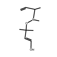 C=CC(C)N(C)OC(C)(C)C=CO